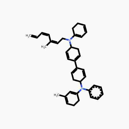 C=C/C=C\C(C)=C/CN(C1=CC=CCC1)C1C=CC(C2=CCC(N(C3=CC(C)=CCC3)c3ccccc3)C=C2)=CC1